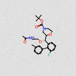 CC(=O)NCCO[C@@H](c1cccc(F)c1-c1cccc(C)c1)C1CN(C(=O)OC(C)(C)C)CCO1